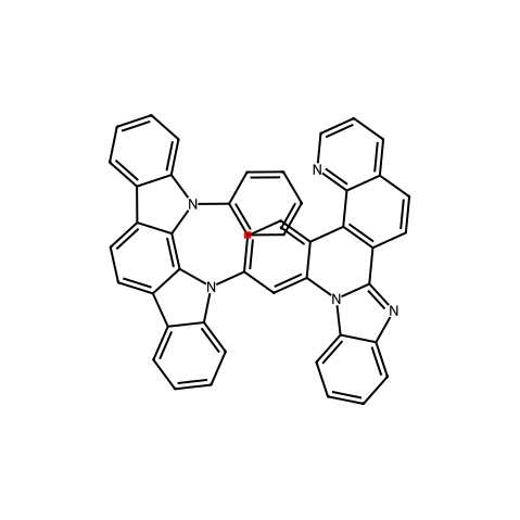 c1ccc(-n2c3ccccc3c3ccc4c5ccccc5n(-c5ccc6c7c(ccc8cccnc87)c7nc8ccccc8n7c6c5)c4c32)cc1